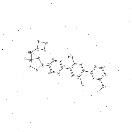 COc1cc(-c2cc(O)c(-c3ccc(N4CCC(C)(NC5CCC5)C4)nn3)cc2F)cnn1